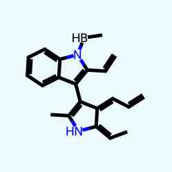 C=C/C=c1/c(-c2c(C=C)n(BC)c3ccccc23)c(C)[nH]/c1=C/C